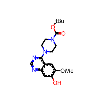 COc1cc2c(N3CCN(C(=O)OC(C)(C)C)CC3)ncnc2cc1O